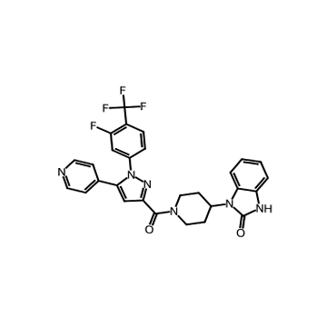 O=C(c1cc(-c2ccncc2)n(-c2ccc(C(F)(F)F)c(F)c2)n1)N1CCC(n2c(=O)[nH]c3ccccc32)CC1